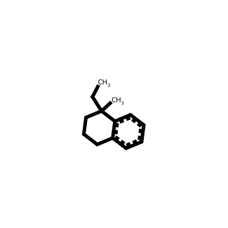 C[C]C1(C)CCCc2ccccc21